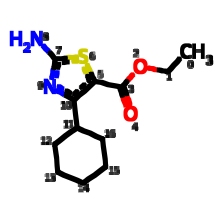 CCOC(=O)c1sc(N)nc1C1CCCCC1